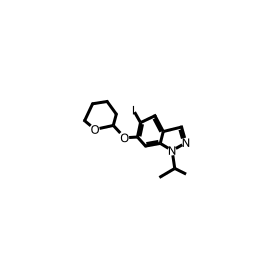 CC(C)n1ncc2cc(I)c(OC3CCCCO3)cc21